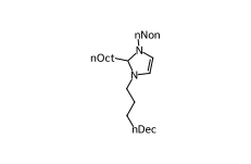 CCCCCCCCCCCCCN1C=CN(CCCCCCCCC)C1CCCCCCCC